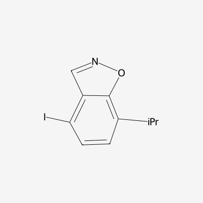 CC(C)c1ccc(I)c2cnoc12